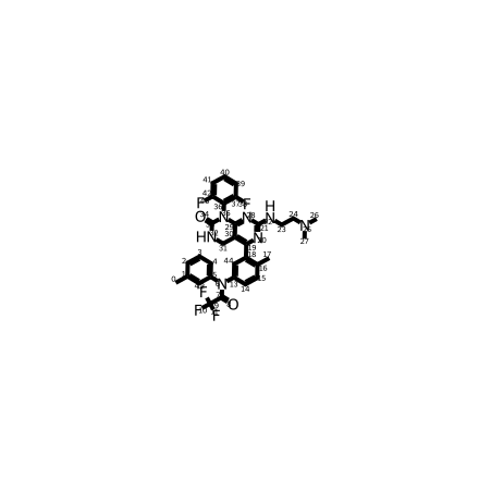 Cc1cccc(N(C(=O)C(F)(F)F)c2ccc(C)c(-c3nc(NCCN(C)C)nc4c3CNC(=O)N4c3c(F)cccc3F)c2)c1